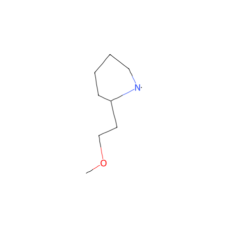 COCCC1CCCC[N]1